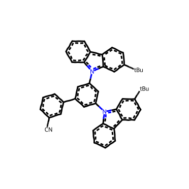 CC(C)(C)c1ccc2c3ccccc3n(-c3cc(-c4cccc(C#N)c4)cc(-n4c5ccccc5c5ccc(C(C)(C)C)cc54)c3)c2c1